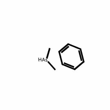 C[AsH]C.c1ccccc1